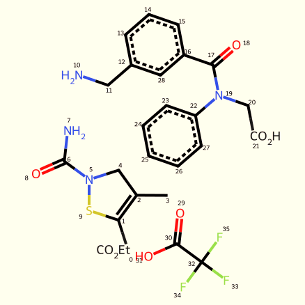 CCOC(=O)C1=C(C)CN(C(N)=O)S1.NCc1cccc(C(=O)N(CC(=O)O)c2ccccc2)c1.O=C(O)C(F)(F)F